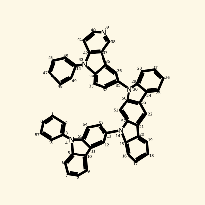 c1ccc(-n2c3ccccc3c3cc(-n4c5ccccc5c5cc6c7ccccc7n(-c7ccc8c(c7)c7cnccc7n8-c7ccccc7)c6cc54)ccc32)cc1